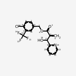 C=C(C(=O)OCc1ccc(Cl)c(C(F)(F)F)c1)C(O)c1ccccn1